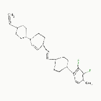 C=CC1CCC(C2C=CC(/C=C/C3CCC(c4ccc(C)c(F)c4F)CC3)CC2)CC1